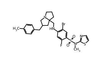 Cc1ccc(CC2CN3CCCC3(CNc3cc(F)c(S(=O)(=O)N(C)c4nccs4)cc3Br)C2)cc1